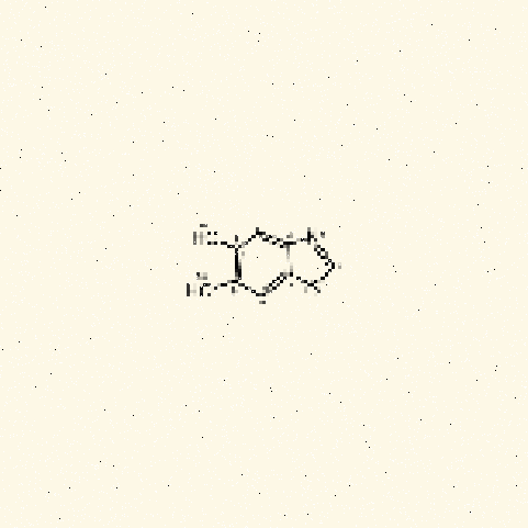 Oc1cc2ncsc2cc1O